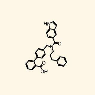 O=C(O)c1ccccc1-c1ccc(CN(CCCc2ccccc2)C(=O)c2ccc3[nH]ccc3c2)cc1